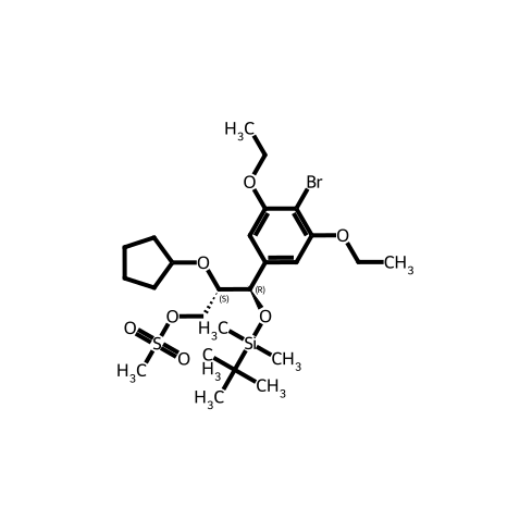 CCOc1cc([C@@H](O[Si](C)(C)C(C)(C)C)[C@H](COS(C)(=O)=O)OC2CCCC2)cc(OCC)c1Br